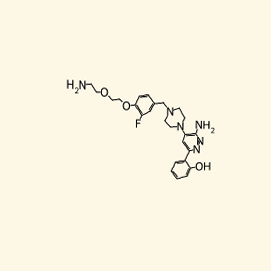 NCCOCCOc1ccc(CN2CCN(c3cc(-c4ccccc4O)nnc3N)CC2)cc1F